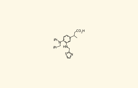 CC(C)CN(c1ccc(C(C)CC(=O)O)cc1NCc1nccs1)C(C)C